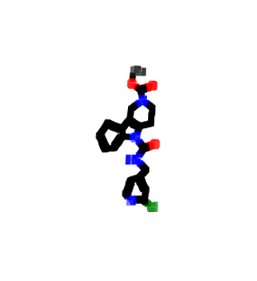 CC(C)(C)OC(=O)N1CCc2c(c3ccccc3n2C(=O)NCc2ccnc(Cl)c2)C1